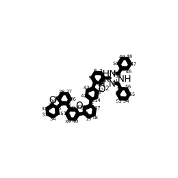 NC(NC(NCc1cccc2c1oc1cc(-c3cccc4c3oc3c(-c5cccc6oc7ccccc7c56)cccc34)ccc12)c1ccccc1)c1ccccc1